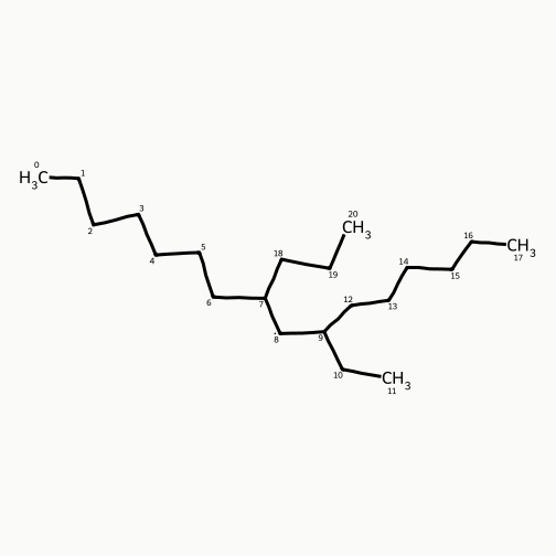 CCCCCCCC([CH]C(CC)CCCCCC)CCC